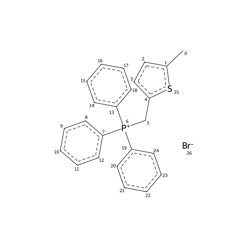 Cc1ccc(C[P+](c2ccccc2)(c2ccccc2)c2ccccc2)s1.[Br-]